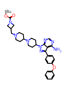 CC(C)(C)OC(=O)N1CC(CN2CCC(N3CCC(n4nc(-c5ccc(Oc6ccccc6)cc5)c5c(N)ncnc54)CC3)CC2)C1